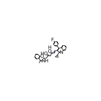 C[C@H](NC(=O)C[C@H](O)C[C@H](O)/C=C/c1c(C2CC2)nc2ccccc2c1-c1ccc(F)cc1)c1ccccc1